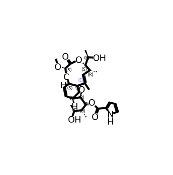 CO[C@H]1C[C@H]2C=C[C@@H]3C[C@]2(O[C@H]3[C@H](OC(=O)c2ccc[nH]2)[C@H](C)[C@H](C)O)/C(C)=C/[C@@H](C)[C@@H]([C@@H](C)O)OC1=O